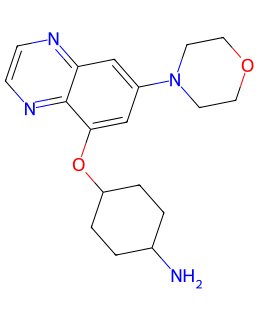 NC1CCC(Oc2cc(N3CCOCC3)cc3nccnc23)CC1